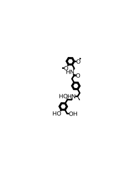 COc1cccc(OC)c1CNC(=O)Cc1ccc(C[C@@H](C)NC[C@H](O)c2ccc(O)c(CO)c2)cc1